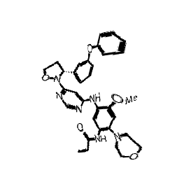 C=CC(=O)Nc1cc(Nc2cc(N3OCC[C@@H]3c3cccc(Oc4ccccc4)c3)ncn2)c(OC)cc1N1CCOCC1